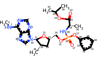 CNc1ncnc2c1ncn2[C@@H]1O[C@H](COP(=O)(N[C@@H](C)C(=O)OC(C)C)Oc2ccccc2)C[C@@H]1C